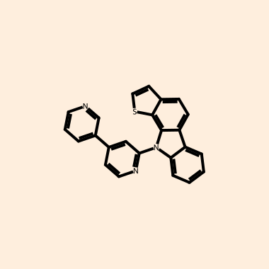 c1cncc(-c2ccnc(-n3c4ccccc4c4ccc5ccsc5c43)c2)c1